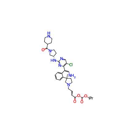 CC(C)OC(=O)OC(=O)/C=C/CN1CCC(C)(c2ccccc2/C(=C\N)c2nc(N[C@H]3CCN(C(=O)C4CCNCC4)C3)ncc2Cl)C1